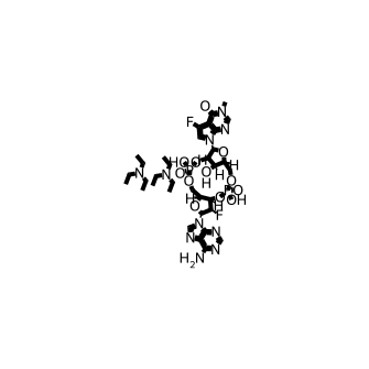 CCN(CC)CC.CCN(CC)CC.Cn1cnc2c(c(F)cn2[C@@H]2O[C@@H]3COP(=O)(O)O[C@H]4[C@@H](F)[C@H](n5cnc6c(N)ncnc65)O[C@@H]4COP(=O)(O)O[C@@H]2[C@@H]3O)c1=O